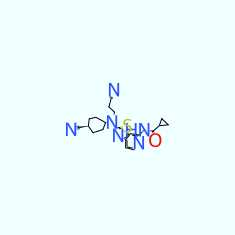 N#CCCN(c1nc2ccnc(NC(=O)C3CC3)c2s1)[C@H]1CC[C@H](C#N)CC1